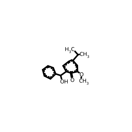 COc1cc(C(C)C)ccc(C(O)c2ccccc2)c1=O